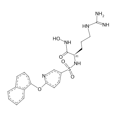 N=C(N)NCCC[C@@H](NS(=O)(=O)c1ccc(Oc2cccc3ccccc23)nc1)C(=O)NO